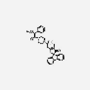 CC(=O)OC(C(=O)N1CCN(CCCCC2(C(=O)NCC(F)(F)F)c3ccccc3-c3ccccc32)CC1)c1ccccc1